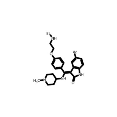 CCNCCOc1ccc(/C(NC2CCN(C)CC2)=C2/C(=O)Nc3ccc(C(C)=O)cc32)cc1